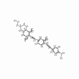 CCCC1CCc2c(cc(F)c(C#Cc3ccc(C#Cc4ccc(CC)cc4)c(F)c3)c2F)C1